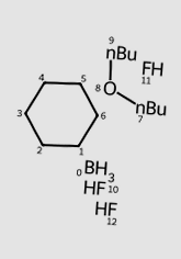 B.C1CCCCC1.CCCCOCCCC.F.F.F